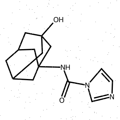 O=C(NC12CC3CC(CC(O)(C3)C1)C2)n1ccnc1